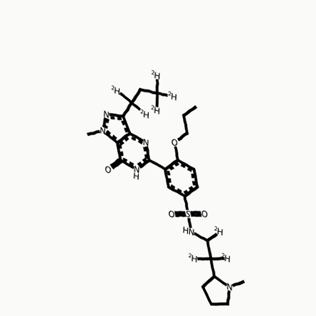 [2H]C(NS(=O)(=O)c1ccc(OCCC)c(-c2nc3c(C([2H])([2H])CC([2H])([2H])[2H])nn(C)c3c(=O)[nH]2)c1)C([2H])([2H])C1CCCN1C